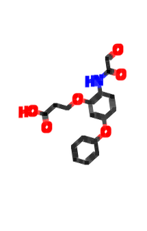 O=CC(=O)Nc1ccc(Oc2ccccc2)cc1OCCC(=O)O